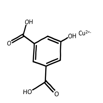 O=C(O)c1cc(O)cc(C(=O)O)c1.[Cu+2]